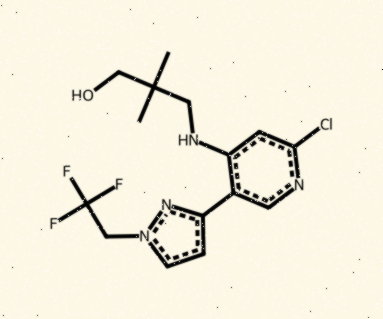 CC(C)(CO)CNc1cc(Cl)ncc1-c1ccn(CC(F)(F)F)n1